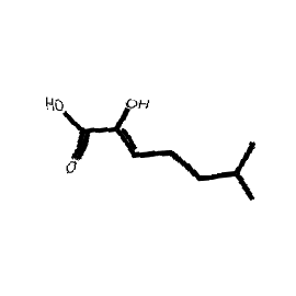 CC(C)CCC=C(O)C(=O)O